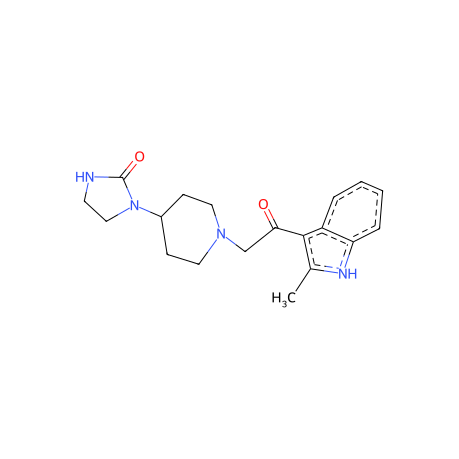 Cc1[nH]c2ccccc2c1C(=O)CN1CCC(N2CCNC2=O)CC1